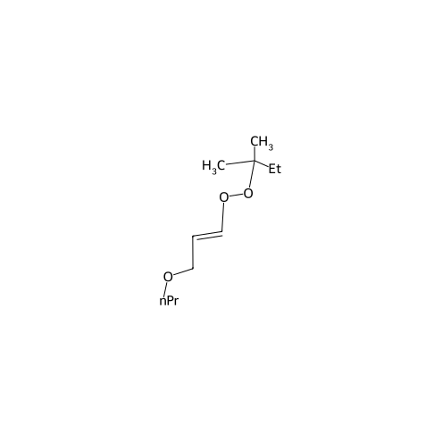 [C]CCOCC=COOC(C)(C)CC